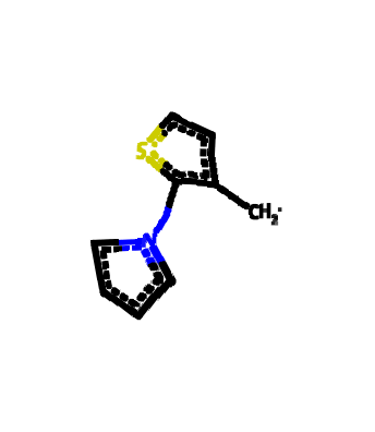 [CH2]c1ccsc1-n1cccc1